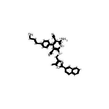 Cc1oc(-c2ccc3ccccc3c2)nc1CSc1nc(N)c(C#N)c(-c2ccc(CCCO)cc2)c1C#N